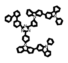 c1ccc(-c2ccccc2-c2cccc(-c3nc(-c4ccc(-n5c6ccccc6c6ccc(-c7ccc8c(c7)c7ccccc7n8-c7ccccc7)cc65)cc4)nc(-c4cccc(-n5c6ccccc6c6ccc(-c7ccc8c(c7)c7ccccc7n8-c7ccccc7)cc65)c4)n3)c2)cc1